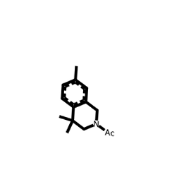 CC(=O)N1Cc2cc(C)ccc2C(C)(C)C1